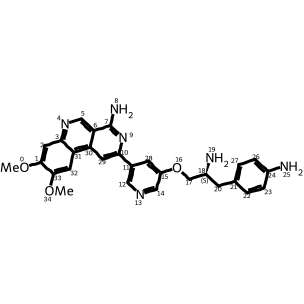 COc1cc2ncc3c(N)nc(-c4cncc(OC[C@@H](N)Cc5ccc(N)cc5)c4)cc3c2cc1OC